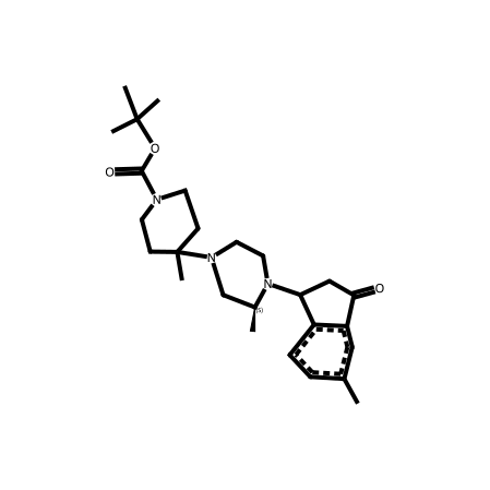 Cc1ccc2c(c1)C(=O)CC2N1CCN(C2(C)CCN(C(=O)OC(C)(C)C)CC2)C[C@@H]1C